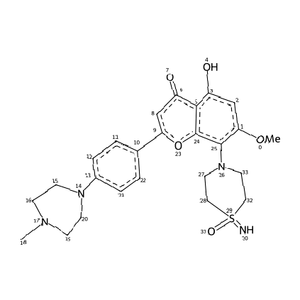 COc1cc(O)c2c(=O)cc(-c3ccc(N4CCN(C)CC4)cc3)oc2c1N1CCS(=N)(=O)CC1